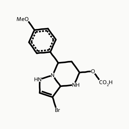 COc1ccc(C2CC(OC(=O)O)NC3C(Br)=CNN32)cc1